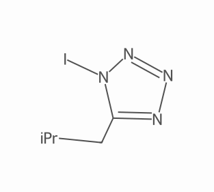 CC(C)Cc1nnnn1I